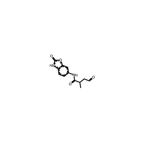 CC(CC=O)C(=O)Nc1ccc2[nH]c(=O)oc2c1